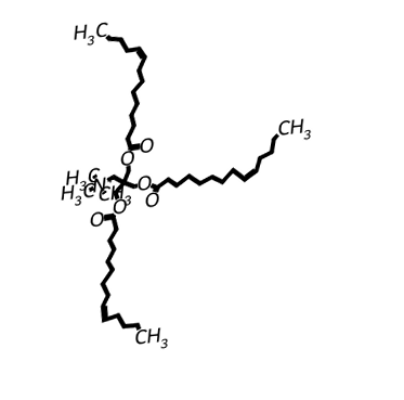 CCCC/C=C\CCCCCCCC(=O)OCC(COC(=O)CCCCCCC/C=C\CCCC)(COC(=O)CCCCCCC/C=C\CCCC)C[N+](C)(C)C